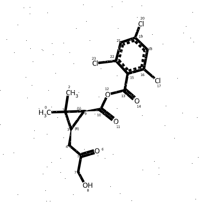 CC1(C)[C@H](CC(=O)CO)[C@@H]1C(=O)OC(=O)c1c(Cl)cc(Cl)cc1Cl